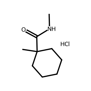 CNC(=O)C1(C)CCCCC1.Cl